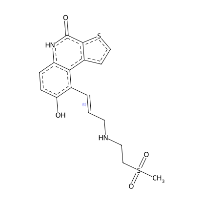 CS(=O)(=O)CCNC/C=C/c1c(O)ccc2[nH]c(=O)c3sccc3c12